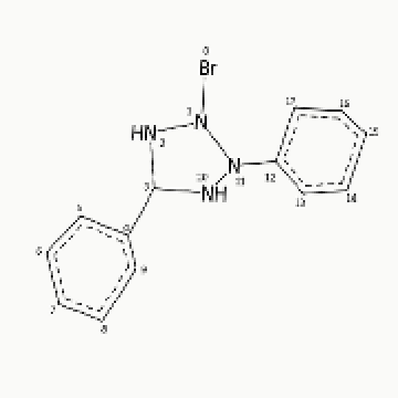 BrN1NC(c2ccccc2)NN1c1ccccc1